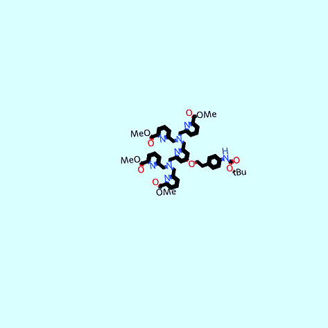 COC(=O)c1cccc(CN(Cc2cc(OCCc3ccc(NC(=O)OC(C)(C)C)cc3)cc(CN(Cc3cccc(C(=O)OC)n3)Cc3cccc(C(=O)OC)n3)n2)Cc2cccc(C(=O)OC)n2)n1